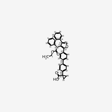 CCOC(=O)N(c1ccccc1)c1c(-c2ccccc2)noc1-c1ccc(-c2ccc(C3(C(=O)O)CC3)cc2)cc1